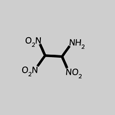 NC(C([N+](=O)[O-])[N+](=O)[O-])[N+](=O)[O-]